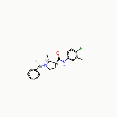 Cc1cc(NC(=O)[C@H]2CCN([C@@H](C)c3ccccc3)[C@H]2C)ccc1F